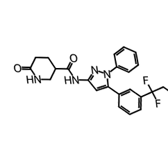 CCC(F)(F)c1cccc(-c2cc(NC(=O)C3CCC(=O)NC3)nn2-c2ccccc2)c1